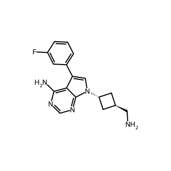 NC[C@H]1C[C@H](n2cc(-c3cccc(F)c3)c3c(N)ncnc32)C1